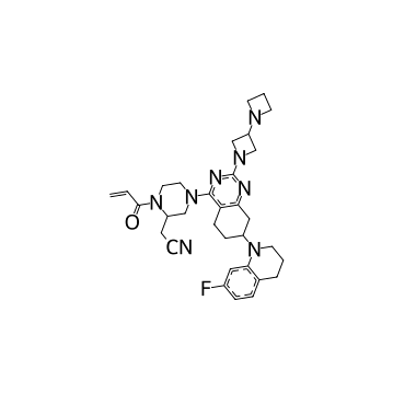 C=CC(=O)N1CCN(c2nc(N3CC(N4CCC4)C3)nc3c2CCC(N2CCCc4ccc(F)cc42)C3)CC1CC#N